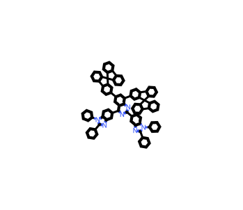 c1ccc(-c2nc3cc(-c4nc(-c5ccc6c(c5)nc(-c5ccccc5)n6-c5ccccc5)c5cc(-c6ccc7c(c6)C6(c8ccccc8-c8ccccc86)c6ccccc6-7)cc(-c6ccc7c(c6)C6(c8ccccc8-c8ccccc86)c6ccccc6-7)c5n4)ccc3n2-c2ccccc2)cc1